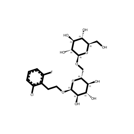 OC[C@H]1O[C@@H](OC[C@H]2O[C@H](OCCc3c(F)cccc3Cl)[C@H](O)[C@@H](O)[C@@H]2O)[C@H](O)[C@@H](O)[C@@H]1O